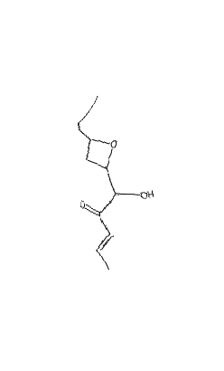 CC=CC(=O)C(O)C1CC(CC)O1